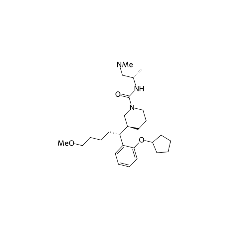 CNC[C@H](C)NC(=O)N1CCC[C@@H]([C@@H](CCCCOC)c2ccccc2OC2CCCC2)C1